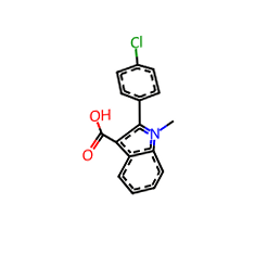 Cn1c(-c2ccc(Cl)cc2)c(C(=O)O)c2ccccc21